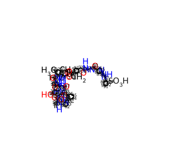 C=C(OC(=O)CC(C)(C)c1c(C)cc(C)cc1NC(=O)[C@H](CC(C)C)NC(=O)[C@H](Cc1ccc(O)cc1)NC(=O)[C@H](CCc1ccccc1)NC(=O)CNC(=O)[C@H](CC(C)C)NC(=O)[C@@H]1CCCN1C(C)=O)C(=O)c1ccc(CC(=O)NCCNC(=O)c2ccc(N/N=C/c3ccccc3S(=O)(=O)O)nc2)cc1